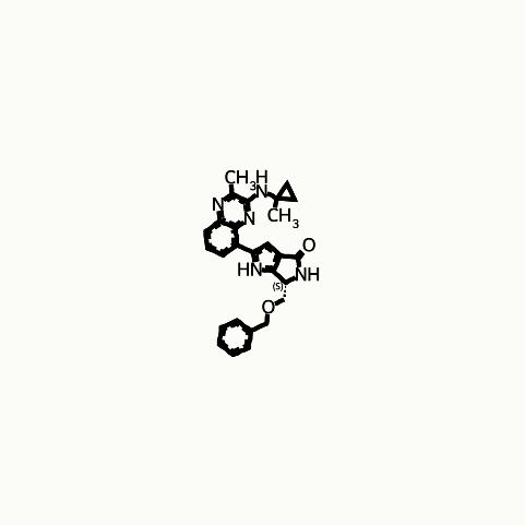 Cc1nc2cccc(-c3cc4c([nH]3)[C@@H](COCc3ccccc3)NC4=O)c2nc1NC1(C)CC1